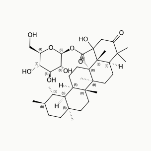 C[C@@H]1[C@H]2[C@H]3CC[C@H]4[C@@]5(C)[C@H](CC[C@@]4(C)[C@]3(C)CC[C@@]2(C)CC[C@H]1C)C(C)(C)C(=O)CC5(O)C(=O)O[C@@H]1O[C@H](CO)[C@@H](O)[C@H](O)[C@H]1O